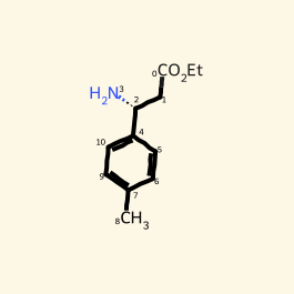 CCOC(=O)C[C@@H](N)c1ccc(C)cc1